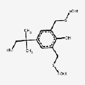 CCCCCCCCSCc1cc(C(C)(C)CC(C)(C)C)cc(CSCCCCCCCC)c1O